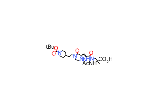 CC(=O)N[C@@](C)(CNC(=O)c1cc2n(n1)CCN(CCC1CCN(C(=O)OC(C)(C)C)CC1)C2=O)C(=O)O